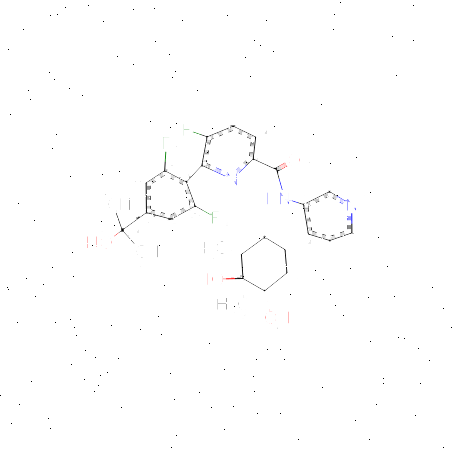 C[C@@H]1C[C@H](c2ccncc2NC(=O)c2ccc(F)c(-c3c(F)cc(C(C)(C)O)cc3F)n2)C[C@H](O)[C@@]1(C)O